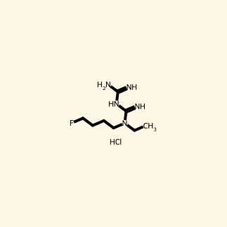 CCN(CCCCF)C(=N)NC(=N)N.Cl